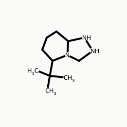 CC(C)(C)C1CCCC2NNCN21